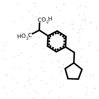 O=C(O)C(C(=O)O)c1ccc(CC2CCCC2)cc1